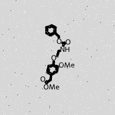 COC(=O)Cc1ccc(OCCNC(=O)OCc2ccccc2)c(OC)c1